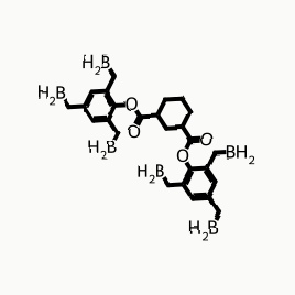 BCc1cc(CB)c(OC(=O)C2CCCC(C(=O)Oc3c(CB)cc(CB)cc3CB)C2)c(CB)c1